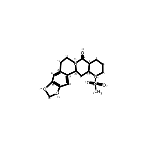 CS(=O)(=O)N1CCCC2C(=O)N3CCc4cc5c(cc4C3CC21)OCO5